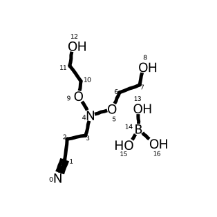 N#CCCN(OCCO)OCCO.OB(O)O